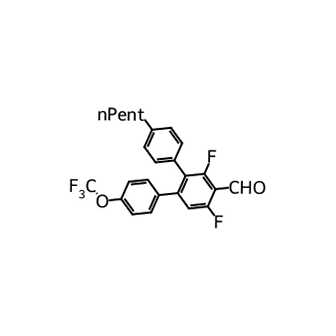 CCCCCc1ccc(-c2c(-c3ccc(OC(F)(F)F)cc3)cc(F)c(C=O)c2F)cc1